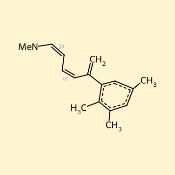 C=C(/C=C\C=C/NC)c1cc(C)cc(C)c1C